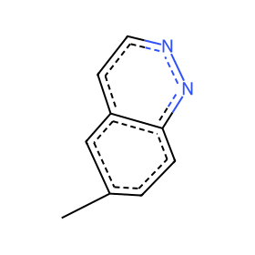 Cc1ccc2nnccc2c1